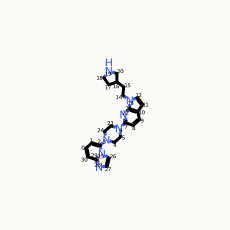 c1cc(N2CCN(c3ccc4ccn(CCC5CCNC5)c4n3)CC2)n2ccnc2c1